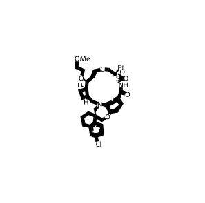 CC[C@@H]1CC/C=C/[C@H](OCCOC)[C@@H]2CC[C@H]2CN2C[C@@]3(CCCc4cc(Cl)ccc43)COc3ccc(cc32)C(=O)NS1(=O)=O